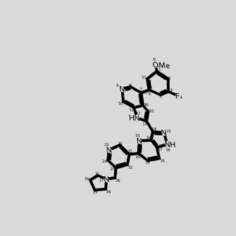 COc1cc(F)cc(-c2cncc3[nH]c(-c4n[nH]c5ccc(-c6cncc(CN7CCCC7)c6)nc45)cc23)c1